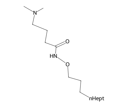 CCCCCCCCCCONC(=O)CCCN(C)C